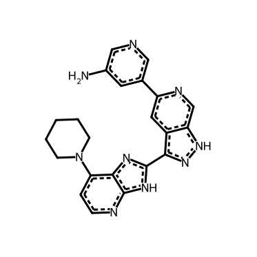 Nc1cncc(-c2cc3c(-c4nc5c(N6CCCCC6)ccnc5[nH]4)n[nH]c3cn2)c1